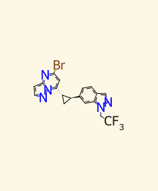 FC(F)(F)Cn1ncc2ccc([C@H]3C[C@@H]3c3cc(Br)nc4ccnn34)cc21